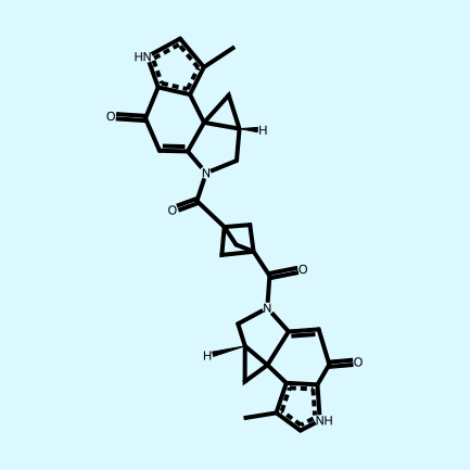 Cc1c[nH]c2c1C13C[C@@H]1CN(C(=O)C14CC(C(=O)N5C[C@H]6CC67C5=CC(=O)c5[nH]cc(C)c57)(C1)C4)C3=CC2=O